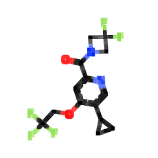 O=C(c1cc(OCC(F)(F)F)c(C2CC2)cn1)N1CC(F)(F)C1